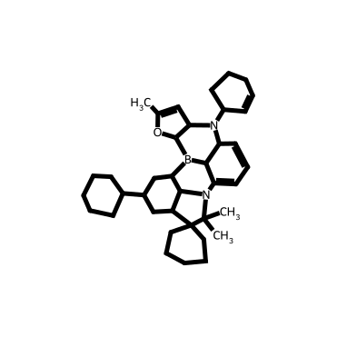 CC1=CC2C(O1)B1C3CC(C4CCCCC4)CC4C3N(C3=CC=CC(C13)N2C1C=CCCC1)C(C)(C)C41CCCCC1